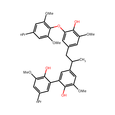 CCCc1cc(OC)c(Oc2cc(CC(C)c3cc(OC)c(O)c(-c4cc(CCC)cc(OC)c4O)c3)cc(OC)c2O)c(OC)c1